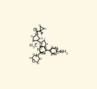 C[C@]1(N2CCc3c(-c4cnc(N)nc4)nc(N4CCOCC4)nc32)CCN(C(=O)C2(F)CC2)C1